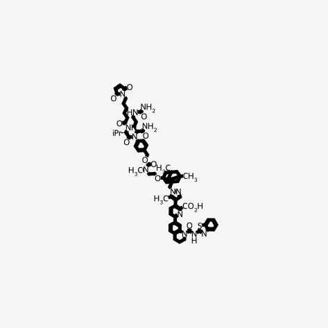 Cc1c(-c2ccc(-c3ccc4c(c3)N(C(=O)Nc3nc5ccccc5s3)CCC4)nc2C(=O)O)cnn1CC12CC3(C)CC(C)(C1)CC(OCCN(C)C(=O)OCc1ccc(N(C(=O)[C@@H](NC(=O)CCCCCN4C(=O)C=CC4=O)C(C)C)[C@@H](CCCNC(N)=O)C(N)=O)cc1)(C3)C2